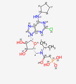 CC(C)N(C[C@H]1O[C@@H](n2cnc3c(NC4CCCC4)nc(Cl)nc32)[C@H](O)[C@@H]1O)C(=O)CP(=O)(O)O